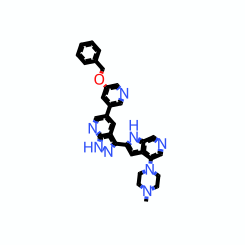 CN1CCN(c2cncc3[nH]c(-c4n[nH]c5ncc(-c6cncc(OCc7ccccc7)c6)cc45)cc23)CC1